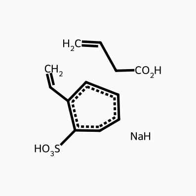 C=CCC(=O)O.C=Cc1ccccc1S(=O)(=O)O.[NaH]